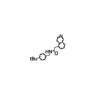 CC(C)(C)c1ccc(CNC(=O)Cc2cccc3cnccc23)cc1